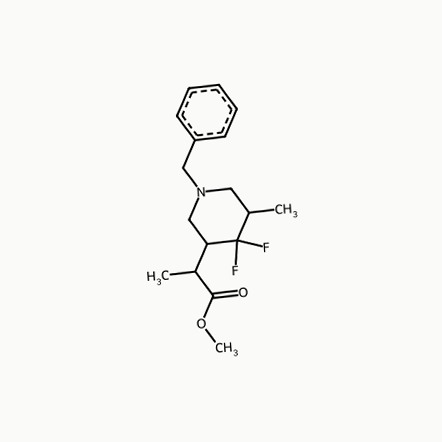 COC(=O)C(C)C1CN(Cc2ccccc2)CC(C)C1(F)F